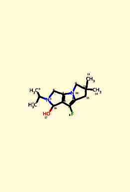 CC(C)N1Cc2c(c(F)c3n2CC(C)(C)C3)C1O